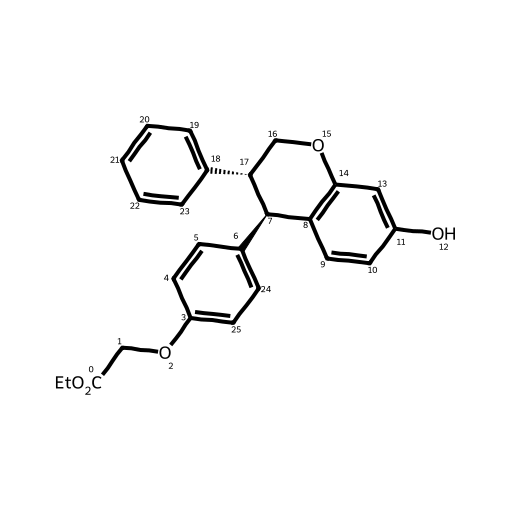 CCOC(=O)COc1ccc([C@@H]2c3ccc(O)cc3OC[C@H]2c2ccccc2)cc1